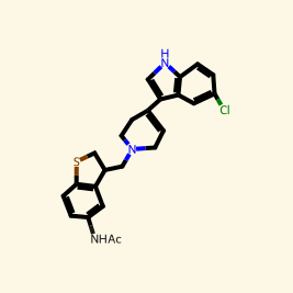 CC(=O)Nc1ccc2c(c1)C(CN1CC=C(c3c[nH]c4ccc(Cl)cc34)CC1)CS2